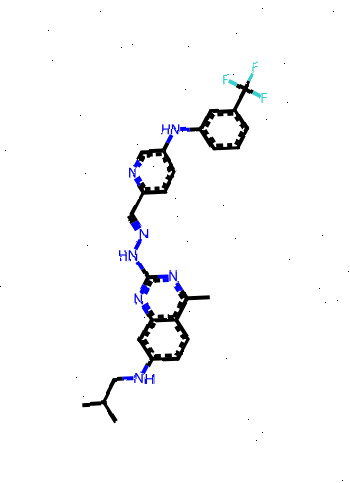 Cc1nc(N/N=C/c2ccc(Nc3cccc(C(F)(F)F)c3)cn2)nc2cc(NCC(C)C)ccc12